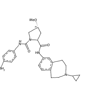 Bc1ccc(NC(=O)N2C[C@H](OC)CC2C(=O)Nc2ccc3c(c2)CCN(C2CC2)CC3)cc1